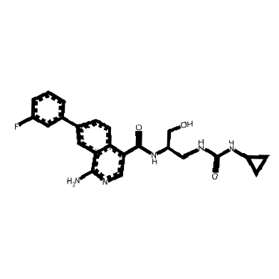 Nc1ncc(C(=O)NC(CO)CNC(=O)NC2CC2)c2ccc(-c3cccc(F)c3)cc12